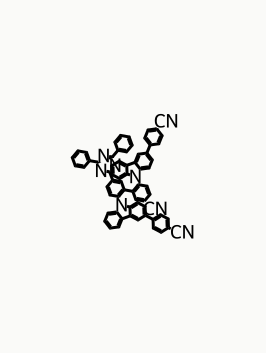 N#Cc1ccc(-c2ccc3c(c2)c2ccccc2n3-c2ccc(C#N)cc2-c2cc(-c3nc(-c4ccccc4)nc(-c4ccccc4)n3)ccc2-n2c3ccccc3c3cc(-c4ccc(C#N)cc4)ccc32)cc1